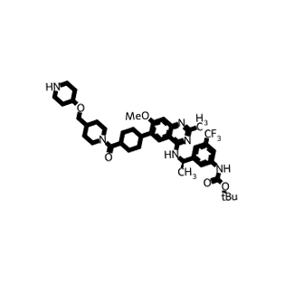 COc1cc2nc(C)nc(N[C@H](C)c3cc(NC(=O)OC(C)(C)C)cc(C(F)(F)F)c3)c2cc1C1CCC(C(=O)N2CCC(COC3CCNCC3)CC2)CC1